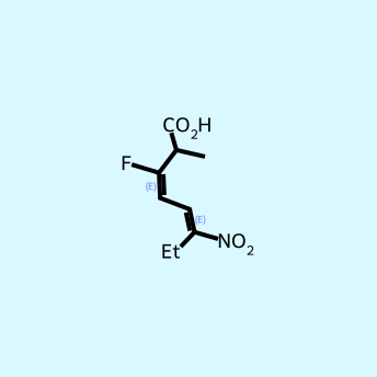 CC/C(=C\C=C(\F)C(C)C(=O)O)[N+](=O)[O-]